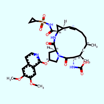 COc1cc2ccnc(O[C@@H]3C[C@H]4C(=O)N[C@]5(C(=O)NS(=O)(=O)C6CC6)C[C@H]5/C=C\CC[C@@H](C)C[C@@H](C)[C@H](NC(=O)O)C(=O)N4C3)c2cc1OC